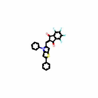 O=C1C(=Cc2cc3sc(-c4ccccc4)cc3n2-c2ccccc2)C(=O)c2c(F)c(F)c(F)c(F)c21